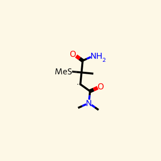 CSC(C)([CH]C(=O)N(C)C)C(N)=O